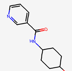 O=C(NC1CCC(O)CC1)c1cccnc1